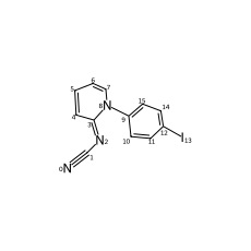 N#CN=c1ccccn1-c1ccc(I)cc1